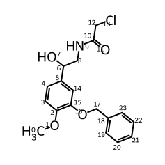 COc1ccc(C(O)CNC(=O)CCl)cc1OCc1ccccc1